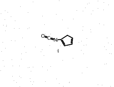 O=[C]=[Ni][C]1=CC=CC1.[I]